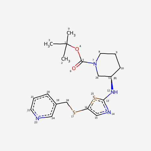 CC(C)(C)OC(=O)N1CCC[C@@H](Nc2ncc(SCc3cccnc3)s2)C1